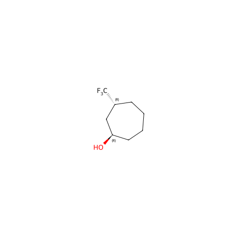 O[C@@H]1CCCC[C@@H](C(F)(F)F)C1